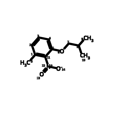 Cc1cccc(OCC(C)C)c1[N+](=O)[O-]